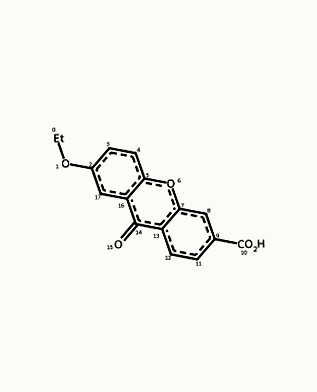 CCOc1ccc2oc3cc(C(=O)O)ccc3c(=O)c2c1